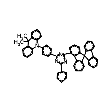 CC1(C)c2ccccc2N(c2ccc(-c3nc(-c4ccccc4)nc(-c4cccc5c4-c4ccccc4C54c5ccccc5-c5ccccc54)n3)cc2)c2ccccc21